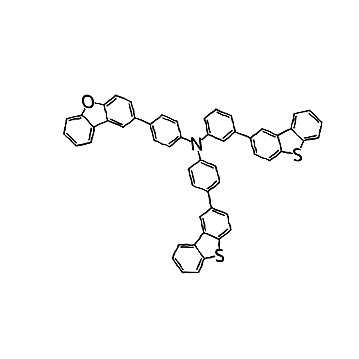 c1cc(-c2ccc3sc4ccccc4c3c2)cc(N(c2ccc(-c3ccc4oc5ccccc5c4c3)cc2)c2ccc(-c3ccc4sc5ccccc5c4c3)cc2)c1